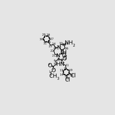 CCOC(=O)CC[C@H](C(=O)NCc1ccc(Cl)c(Cl)c1)N1CCC(CCc2ccccc2)N2C[C@H](N)C[C@H]2C1=O